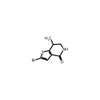 CC1CNC(=O)c2cc(Br)sc21